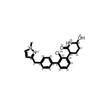 Cn1ccc(Cc2ccc(-c3cccc(C4CCC(O)NC4=O)c3Cl)cc2)n1